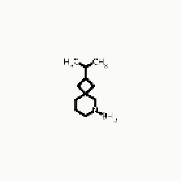 BN1CCCC2(CC(C(C)C)C2)C1